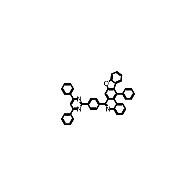 c1ccc(-c2cc(-c3ccccc3)nc(-c3ccc(-c4nc5ccccc5c5c(-c6ccccc6)c6c(cc45)oc4ccccc46)cc3)n2)cc1